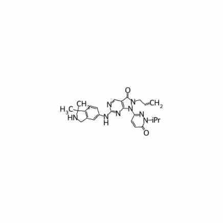 C=CCn1c(=O)c2cnc(Nc3ccc4c(c3)CNC4(C)C)nc2n1-c1ccc(=O)n(C(C)C)n1